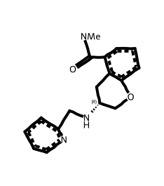 CNC(=O)c1cccc2c1C[C@@H](NCc1ccccn1)CO2